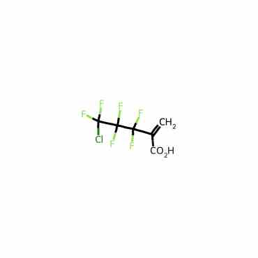 C=C(C(=O)O)C(F)(F)C(F)(F)C(F)(F)Cl